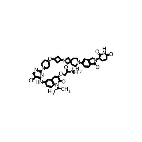 CNC(=O)COc1cc2cc(Nc3nc(N4CCC(OC5CC(N6CC7(CCN(c8ccc9c(c8)CN(C8CCC(=O)NC8=O)C9=O)CC7)C6)C5)CC4)ncc3Cl)ccc2n(C(C)C)c1=O